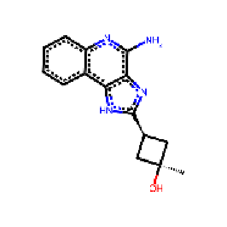 C[C@]1(O)C[C@@H](c2nc3c(N)nc4ccccc4c3[nH]2)C1